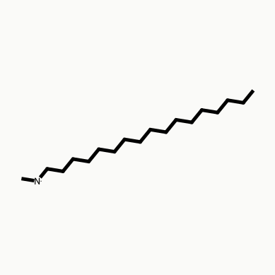 CCCCCCCCCCCCCCCCC[N]C